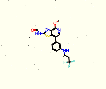 COc1ncc(-c2cccc(NCCC(F)(F)F)c2)c2sc(NC=O)nc12